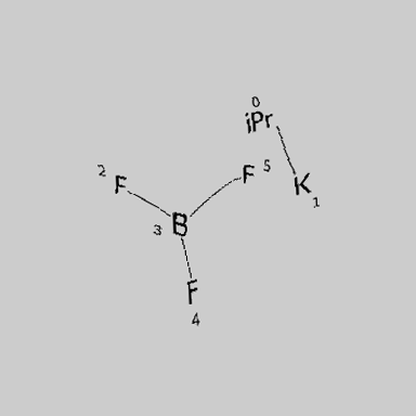 C[CH](C)[K].FB(F)F